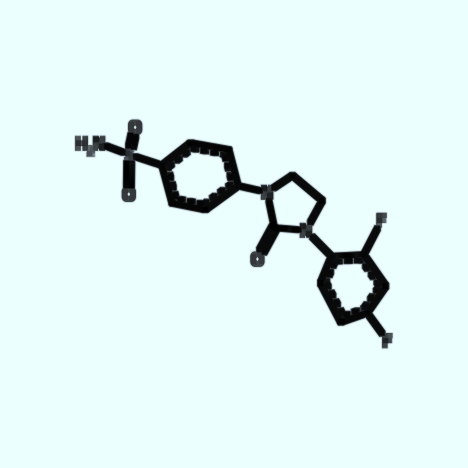 NS(=O)(=O)c1ccc(N2CCN(c3ccc(F)cc3F)C2=O)cc1